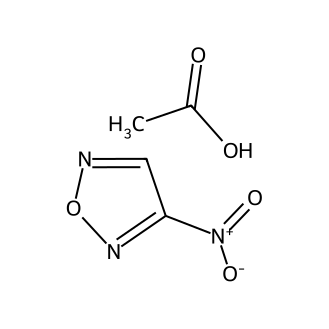 CC(=O)O.O=[N+]([O-])c1cnon1